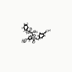 C#Cc1ccc(CNC(=O)[C@@H]2C[C@@H](O)CN2C(=O)[C@@H](NC(=O)Oc2ccccc2)C(C)(C)C)cc1